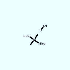 CCCCCCCCCC[N+](C)(C)CCCCCCCCCC.N#C[S-]